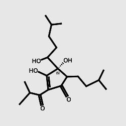 CC(C)CCC(O)[C@]1(O)C(O)=C(C(=O)C(C)C)C(=O)C1CCC(C)C